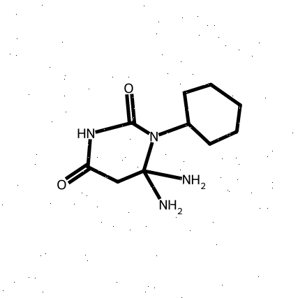 NC1(N)CC(=O)NC(=O)N1C1CCCCC1